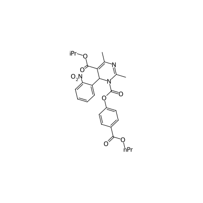 CCCOC(=O)c1ccc(OC(=O)N2C(C)=NC(C)=C(C(=O)OC(C)C)C2c2ccccc2[N+](=O)[O-])cc1